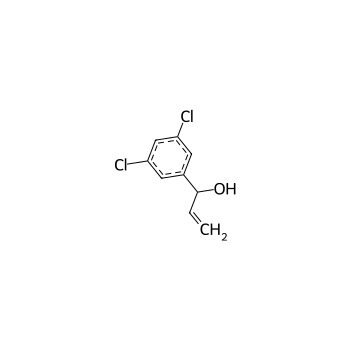 C=CC(O)c1cc(Cl)cc(Cl)c1